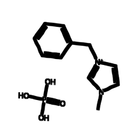 Cn1cc[n+](Cc2ccccc2)c1.O=P(O)(O)O